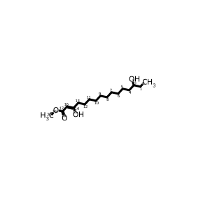 CCC(O)CCCCCCCCCCC(O)=CC(=O)OC